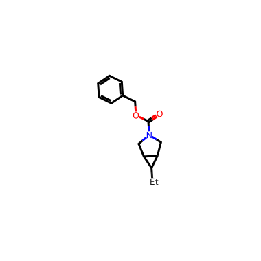 CCC1C2CN(C(=O)OCc3ccccc3)CC12